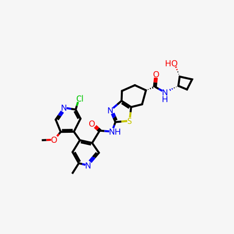 COc1cnc(Cl)cc1-c1cc(C)ncc1C(=O)Nc1nc2c(s1)C[C@@H](C(=O)N[C@H]1CC[C@H]1O)CC2